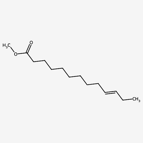 CCC=CCCCCCCCCC(=O)OC